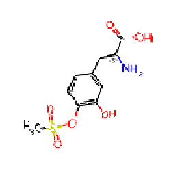 CS(=O)(=O)Oc1ccc(C[C@H](N)C(=O)O)cc1O